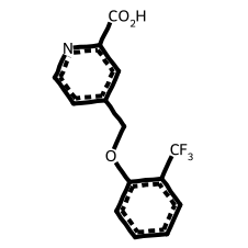 O=C(O)c1cc(COc2ccccc2C(F)(F)F)ccn1